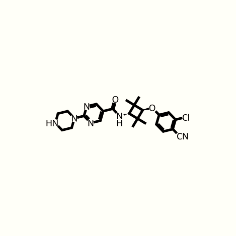 CC1(C)[C@H](NC(=O)c2cnc(N3CCNCC3)nc2)C(C)(C)[C@H]1Oc1ccc(C#N)c(Cl)c1